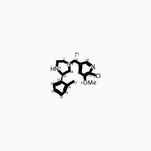 COc1cc([C@@H](C)N2CCN[C@H](c3ccccc3C)C2)cnc1Cl